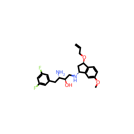 C=CCO[C@@H]1C[C@@H](NC[C@@H](O)[C@@H](N)Cc2cc(F)cc(F)c2)c2cc(OC)ccc21